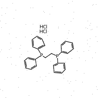 Cl.Cl.c1ccc(P(CCP(c2ccccc2)c2ccccc2)c2ccccc2)cc1